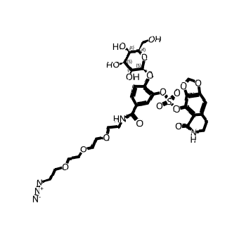 [N-]=[N+]=NCCOCCOCCOCCNC(=O)c1ccc(O[C@@H]2O[C@H](CO)[C@H](O)[C@H](O)[C@H]2O)c(OS(=O)(=O)Oc2c3c(cc4c2C(=O)NCC4)OCO3)c1